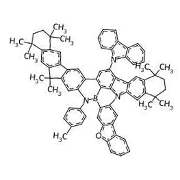 Cc1ccc(N2B3c4cc5oc6ccccc6c5cc4-n4c5cc6c(cc5c5c(-n7c8ccccc8c8ccccc87)cc(c3c54)-c3cc4c(cc32)C(C)(C)c2cc3c(cc2-4)C(C)(C)CCC3(C)C)C(C)(C)CCC6(C)C)cc1